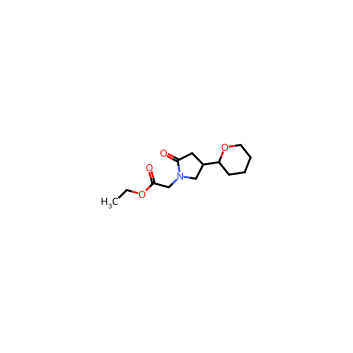 CCOC(=O)CN1CC(C2CCCCO2)CC1=O